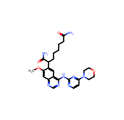 COc1cc2ncnc(Nc3nccc(N4CCOCC4)n3)c2cc1C(CCCCCC(N)=O)C(N)=O